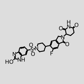 O=C1CCC(N2Cc3cc(C4CCN(S(=O)(=O)c5ccc6nc(O)[nH]c6c5)CC4)c(F)cc3C2=O)C(=O)N1